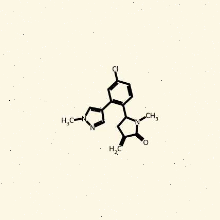 C=C1CC(c2ccc(Cl)cc2-c2cnn(C)c2)N(C)C1=O